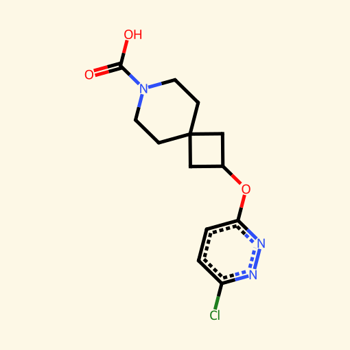 O=C(O)N1CCC2(CC1)CC(Oc1ccc(Cl)nn1)C2